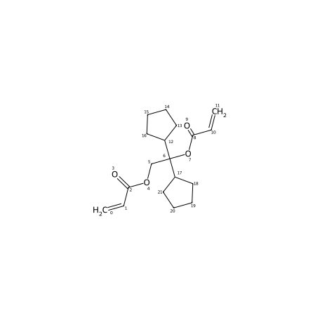 C=CC(=O)OCC(OC(=O)C=C)(C1CCCC1)C1CCCC1